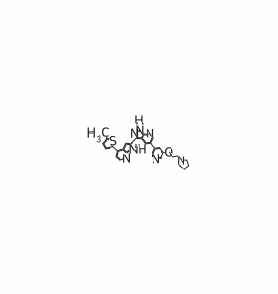 Cc1ccc(-c2ccnc3[nH]c(-c4n[nH]c5ncc(-c6cncc(OCCN7CCCC7)c6)cc45)cc23)s1